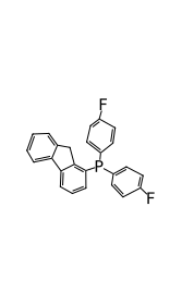 Fc1ccc(P(c2ccc(F)cc2)c2cccc3c2Cc2ccccc2-3)cc1